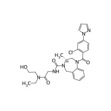 CCN(CCO)C(=O)CNC(=O)N1Cc2ccccc2N(C(=O)c2ccc(-n3cccn3)cc2Cl)C[C@H]1C